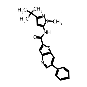 Cn1nc(C(C)(C)C)cc1NC(=O)c1cc2ncc(-c3ccccc3)cc2s1